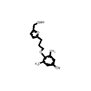 COCc1ccc(CCCOc2c(C)cc(C#N)cc2C)o1